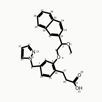 COC(COc1cc(Cn2cccn2)ccc1CCC(=O)O)c1ccc2ccccc2c1